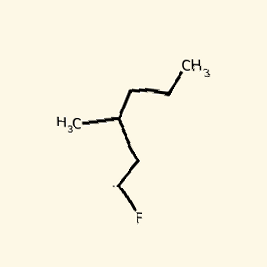 CCCC(C)C[CH]F